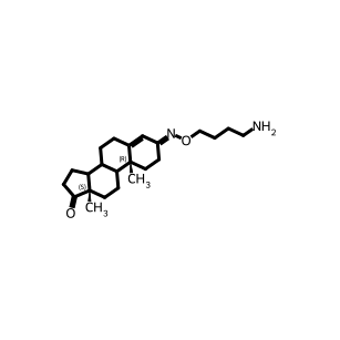 C[C@]12CCC(=NOCCCCN)C=C1CCC1C2CC[C@]2(C)C(=O)CCC12